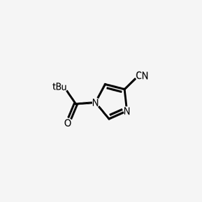 CC(C)(C)C(=O)n1cnc(C#N)c1